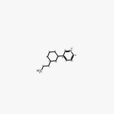 CCC[C]1CCCC(c2cccnc2)C1